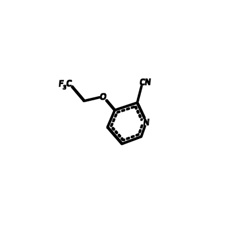 N#Cc1ncccc1OCC(F)(F)F